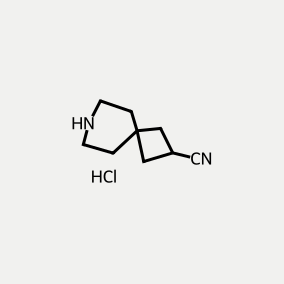 Cl.N#CC1CC2(CCNCC2)C1